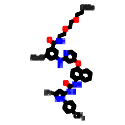 COCCOCCOCCNC(=O)c1cc(Nc2cc(Oc3ccc(NC(=O)Nc4cc(C(C)C)nn4-c4ccc(C)cc4)c4ccccc34)ccn2)cc(OC)c1